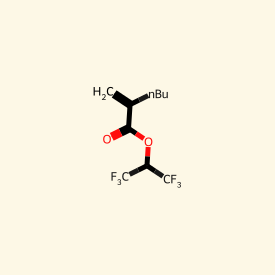 C=C(CCCC)C(=O)OC(C(F)(F)F)C(F)(F)F